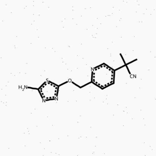 CC(C)(C#N)c1ccc(COc2nnc(N)s2)nc1